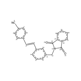 N#Cc1ccc(/C=C/c2cccc(CN3C(=O)c4ccccc4C3=O)c2)cc1